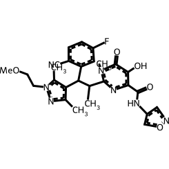 COCCn1nc(C)c(C(c2cc(F)ccc2C#N)C(C)c2nc(C(=O)Nc3cnoc3)c(O)c(=O)n2C)c1C